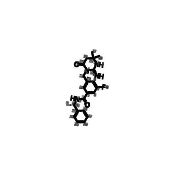 C[C@H](NC(=O)c1cc(F)cc(CN2C(=N)NC(C)(C)CC2=O)c1)c1ccccc1